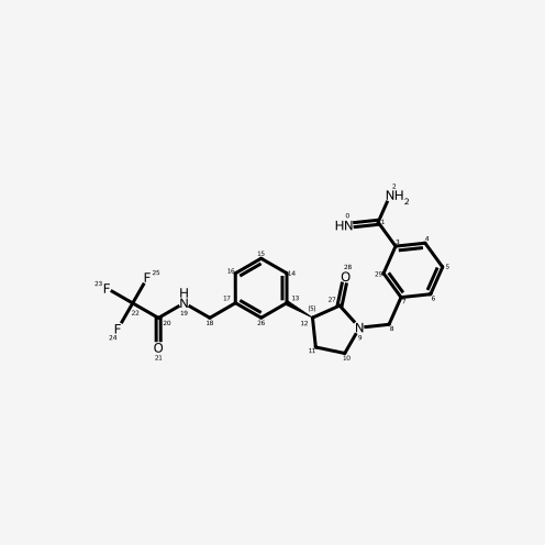 N=C(N)c1cccc(CN2CC[C@@H](c3cccc(CNC(=O)C(F)(F)F)c3)C2=O)c1